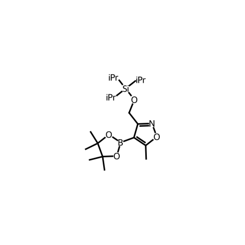 Cc1onc(CO[Si](C(C)C)(C(C)C)C(C)C)c1B1OC(C)(C)C(C)(C)O1